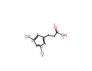 O=C(O)CCc1cc(Cl)cc(Cl)c1